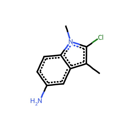 Cc1c(Cl)n(C)c2ccc(N)cc12